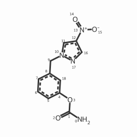 NC(=O)Oc1cccc(Cn2cc([N+](=O)[O-])cn2)c1